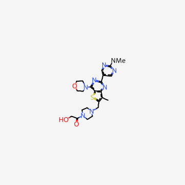 CNc1ncc(-c2nc(N3CCOCC3)c3sc(CN4CCN(C(=O)CO)CC4)c(C)c3n2)cn1